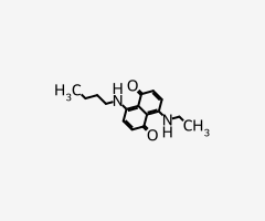 CCCCNC1=C2C(=O)C=CC(NCC)=C2C(=O)C=C1